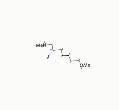 CNC[C@@H](I)CCCCCOC